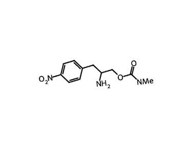 CNC(=O)OCC(N)Cc1ccc([N+](=O)[O-])cc1